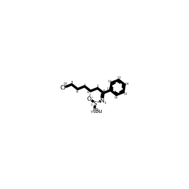 CC(C)(C)[S+]([O-])N=C(CCCCCCl)c1ccccc1